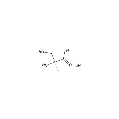 C[C@](O)(CO)C(=O)O.[LiH]